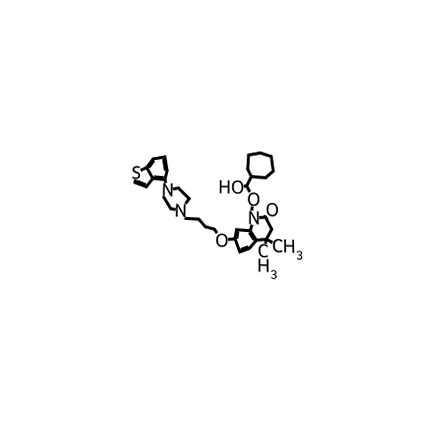 CC1(C)CC(=O)N(COC(O)C2CCCCCC2)c2cc(OCCCCN3CCN(c4cccc5sccc45)CC3)ccc21